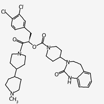 CN1CCC(C2CCN(C(=O)[C@@H](Cc3ccc(Cl)c(Cl)c3)OC(=O)N3CCC(N4CCc5ccccc5NC4=O)CC3)CC2)CC1